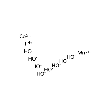 [Co+2].[Mn+2].[OH-].[OH-].[OH-].[OH-].[OH-].[OH-].[OH-].[OH-].[Ti+4]